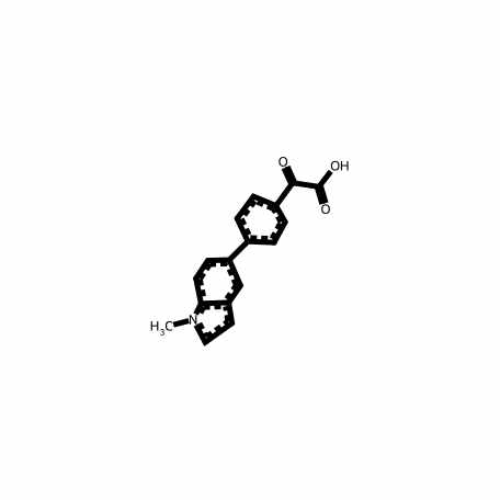 Cn1ccc2cc(-c3ccc(C(=O)C(=O)O)cc3)ccc21